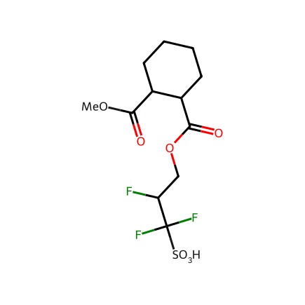 COC(=O)C1CCCCC1C(=O)OCC(F)C(F)(F)S(=O)(=O)O